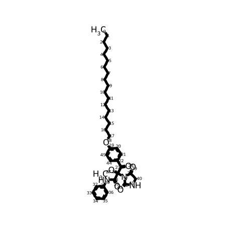 CCCCCCCCCCCCCCCCCCOc1ccc(C(=O)C(OC)(C(=O)Nc2ccccc2)N2C(=O)CNC2=O)cc1